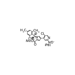 COC(=O)c1cc(-c2cc([NH+]([O-])C(C)C)ncc2Cl)cn1S(=O)(=O)c1c(C)cc(C)cc1C